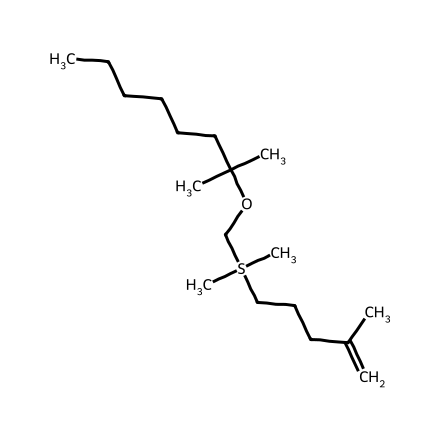 C=C(C)CCCS(C)(C)COC(C)(C)CCCCCC